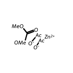 CC(=O)[O-].CC(=O)[O-].COC(=O)OC.[Zn+2]